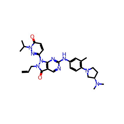 C=CCn1c(=O)c2cnc(Nc3ccc(N4CC[C@@H](N(C)C)C4)c(C)c3)nc2n1-c1ccc(=O)n(C(C)C)n1